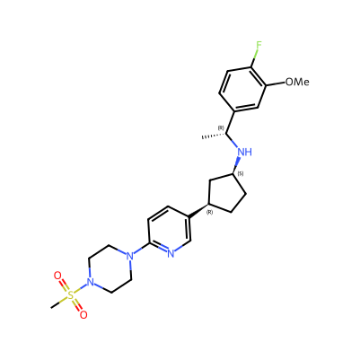 COc1cc([C@@H](C)N[C@H]2CC[C@@H](c3ccc(N4CCN(S(C)(=O)=O)CC4)nc3)C2)ccc1F